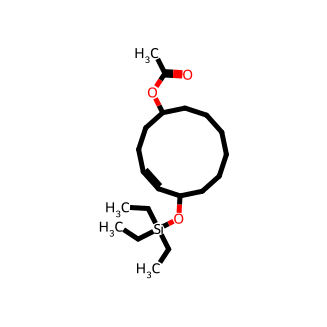 CC[Si](CC)(CC)OC1C=CCCC(OC(C)=O)CCCCCC1